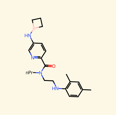 CCCN(CCNc1ccc(C)cc1C)C(=O)c1ccc(NB2CCC2)cn1